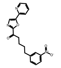 O=C(CCCCc1cccc([N+](=O)[O-])c1)c1ncc(-c2ccccn2)o1